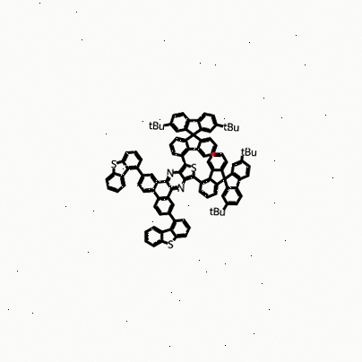 CC(C)(C)c1ccc2c(c1)C1(c3cc(C(C)(C)C)ccc3-2)c2ccccc2-c2c(-c3sc(-c4cccc5c4-c4ccccc4C54c5cc(C(C)(C)C)ccc5-c5ccc(C(C)(C)C)cc54)c4nc5c6cc(-c7cccc8sc9ccccc9c78)ccc6c6ccc(-c7cccc8sc9ccccc9c78)cc6c5nc34)cccc21